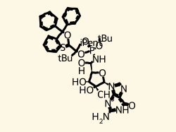 CCCC(C)C(OP(=O)(NC(O)[C@H]1O[C@@H](n2cnc3c(=O)[nH]c(N)nc32)[C@](C)(O)[C@@H]1O)OC(C)(C)C)(C(=S)OC(c1ccccc1)(c1ccccc1)c1ccccc1)C(C)(C)C